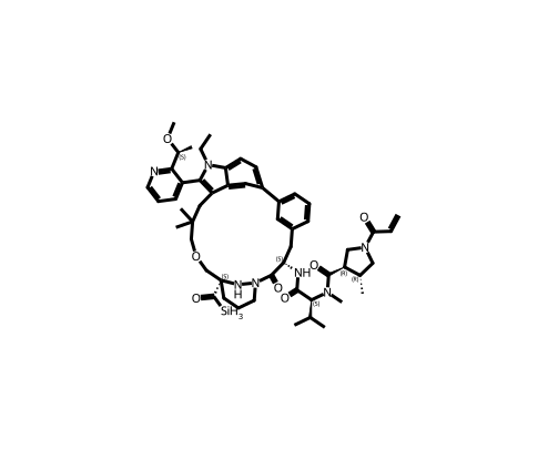 C=CC(=O)N1C[C@H](C(=O)N(C)[C@H](C(=O)N[C@H]2Cc3cccc(c3)-c3ccc4c(c3)c(c(-c3cccnc3[C@H](C)OC)n4CC)CC(C)(C)COC[C@]3(C(=O)[SiH3])CCCN(N3)C2=O)C(C)C)[C@@H](C)C1